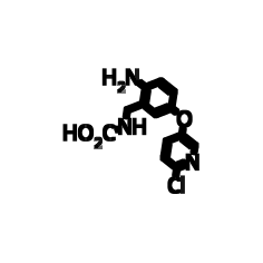 Nc1ccc(Oc2ccc(Cl)nc2)cc1CNC(=O)O